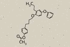 CCCc1cc(Oc2ccccc2)ccc1OCCCCc1ccc(OC(C)=O)cc1